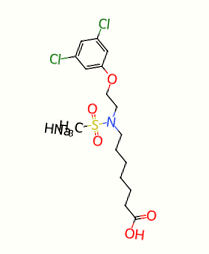 CS(=O)(=O)N(CCCCCCC(=O)O)CCOc1cc(Cl)cc(Cl)c1.[NaH]